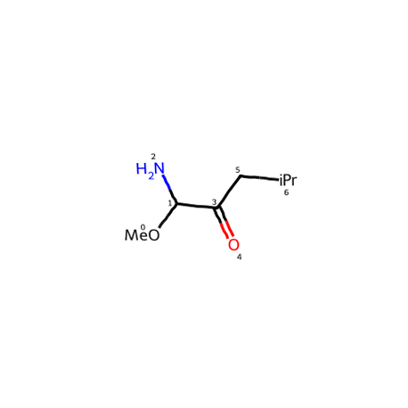 COC(N)C(=O)CC(C)C